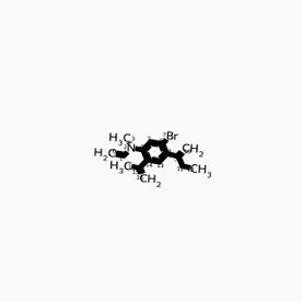 C=CN(C)c1cc(Br)c(C(=C)CC)cc1C(=C)C